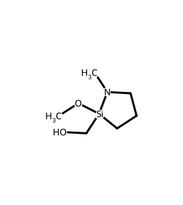 CO[Si]1(CO)CCCN1C